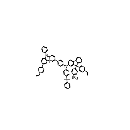 C=Cc1ccc(C2(c3ccc(C(C)(C)C)cc3)c3ccccc3-c3ccc(N(c4ccc(C5=CC6(C)c7cc(C8=CCC(C=C)C=C8)ccc7N(c7ccccc7)C6C=C5)cc4)c4ccc(C(C)(C)c5ccccc5)cc4)cc32)cc1